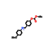 CCCCOC(=O)Oc1ccc(/C=N/c2ccc(OC)cc2)cc1